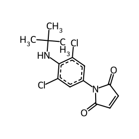 CC(C)(C)Nc1c(Cl)cc(N2C(=O)C=CC2=O)cc1Cl